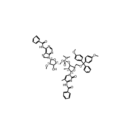 COc1ccc(C(OC[C@H]2O[C@@H](n3cc(C)c(NC(=O)c4ccccc4)nc3=O)[C@@H](C)C2OP(=O)(OC[C@H]2O[C@@H](n3cnc4c(NC(=O)c5ccccc5)ncnc43)[C@@H](OC)C2O)N(C)C)(c2ccccc2)c2ccc(OC)cc2)cc1